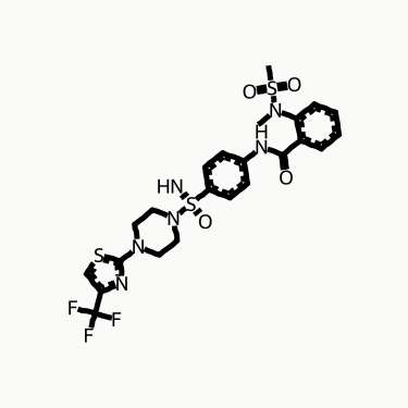 CN(c1ccccc1C(=O)Nc1ccc(S(=N)(=O)N2CCN(c3nc(C(F)(F)F)cs3)CC2)cc1)S(C)(=O)=O